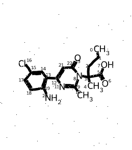 CCCC(C)(C(=O)O)n1c(C)nc(-c2cc(Cl)ccc2N)cc1=O